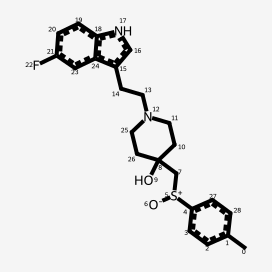 Cc1ccc([S+]([O-])CC2(O)CCN(CCc3c[nH]c4ccc(F)cc34)CC2)cc1